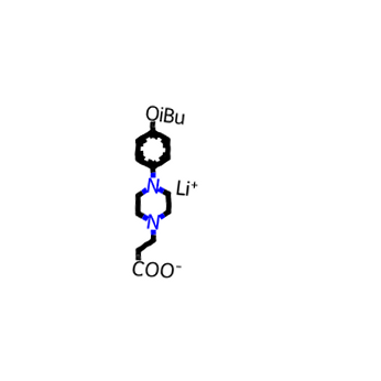 CC(C)COc1ccc(N2CCN(CCC(=O)[O-])CC2)cc1.[Li+]